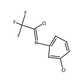 FC(F)(F)C(Cl)=Nc1cccc(Cl)c1